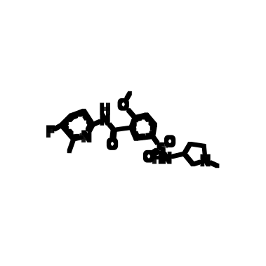 COc1ccc(S(=O)(=O)NC2CCN(C)C2)cc1C(=O)Nc1ccc(F)c(C)n1